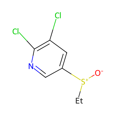 CC[S+]([O-])c1cnc(Cl)c(Cl)c1